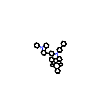 c1ccc(-c2ccc(N(c3ccc(-c4cccc5c4c4ccccc4n5-c4ccccc4)cc3)c3cccc4c3-c3ccccc3C43c4ccccc4-c4ccccc4-c4ccccc43)cc2)cc1